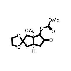 COC(=O)OC1C(=O)C[C@H]2CC3(C[C@@]12OC(C)=O)OCCO3